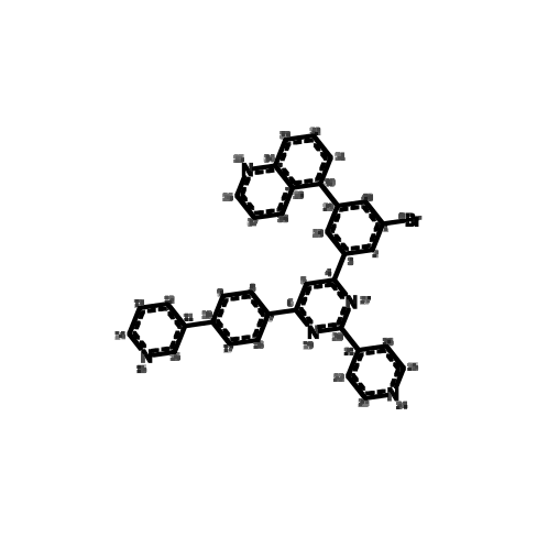 Brc1cc(-c2cc(-c3ccc(-c4cccnc4)cc3)nc(-c3ccncc3)n2)cc(-c2cccc3ncccc23)c1